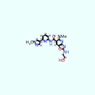 CNc1nc2nc(NCCO)oc2cc1C(=O)Nc1cccc(-c2cnn(C)c2)n1